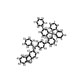 C1=C=C(C2(c3ccccc3)c3cc(-c4ccccc4)ccc3-c3c(-c4ccc(N(c5ccccc5)c5ccc6oc7ccccc7c6c5)cc4)cccc32)C=CC=1